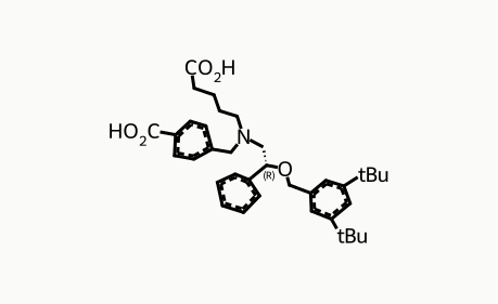 CC(C)(C)c1cc(CO[C@@H](CN(CCCCC(=O)O)Cc2ccc(C(=O)O)cc2)c2ccccc2)cc(C(C)(C)C)c1